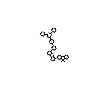 CC1(C)c2ccccc2-c2ccc(-c3cccc4c3sc3c(-c5cccc(-c6ccc(-c7nc(-c8ccccc8)nc(-c8ccccc8)n7)cc6)c5)cccc34)cc21